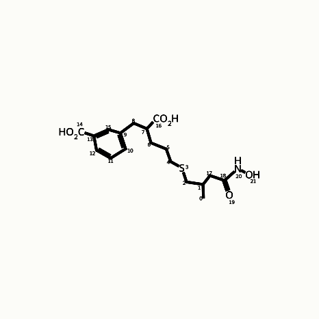 CC(CSCCCC(Cc1cccc(C(=O)O)c1)C(=O)O)CC(=O)NO